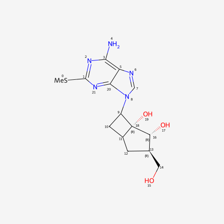 CSc1nc(N)c2ncn(C3CC4C[C@H](CO)[C@@H](O)[C@@]43O)c2n1